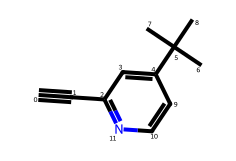 C#Cc1cc(C(C)(C)C)ccn1